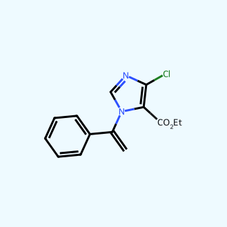 C=C(c1ccccc1)n1cnc(Cl)c1C(=O)OCC